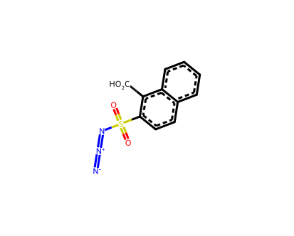 [N-]=[N+]=NS(=O)(=O)c1ccc2ccccc2c1C(=O)O